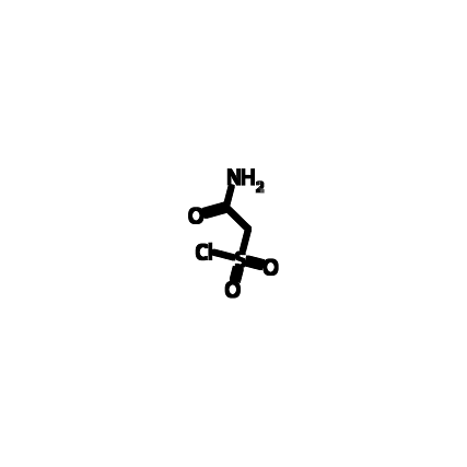 NC(=O)CS(=O)(=O)Cl